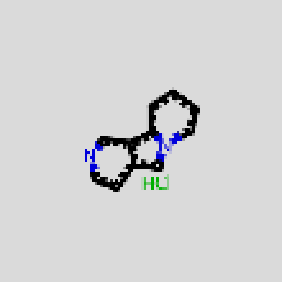 Cl.c1ccn2cc3ccncc3c2c1